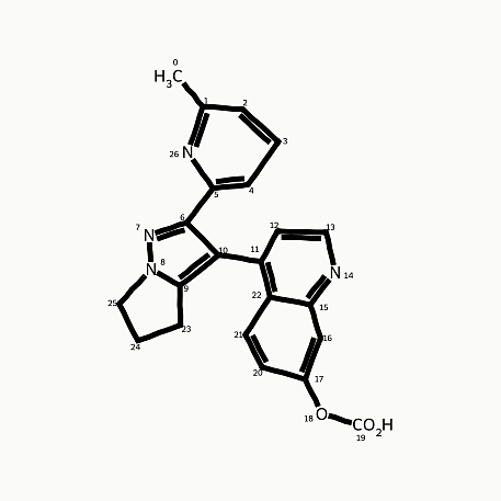 Cc1cccc(-c2nn3c(c2-c2ccnc4cc(OC(=O)O)ccc24)CCC3)n1